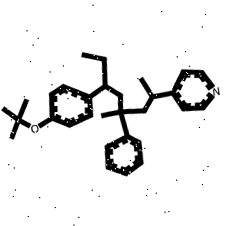 CCC(CC(C)(CC(C)c1ccncc1)c1ccccc1)c1ccc(OC(C)(C)C)cc1